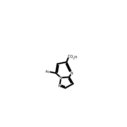 CC(=O)c1cc(C(=O)O)nc2ccnn12